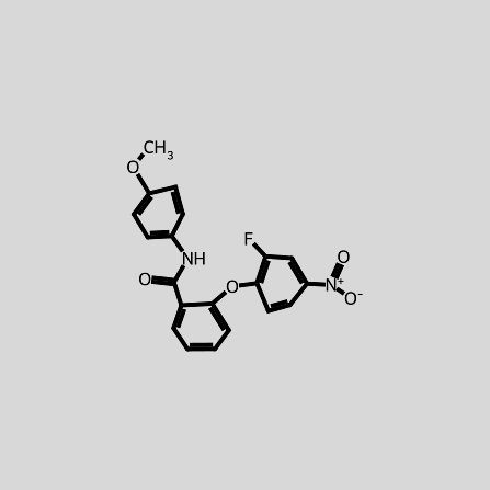 COc1ccc(NC(=O)c2ccccc2Oc2ccc([N+](=O)[O-])cc2F)cc1